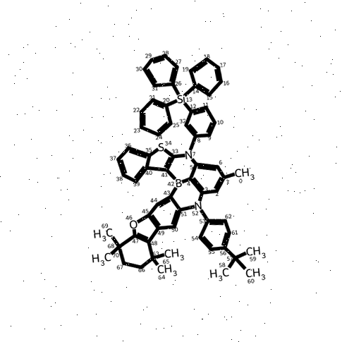 Cc1cc2c3c(c1)N(c1cccc([Si](c4ccccc4)(c4ccccc4)c4ccccc4)c1)c1sc4ccccc4c1B3c1cc3oc4c(c3cc1N2c1ccc(C(C)(C)C)cc1)C(C)(C)CCC4(C)C